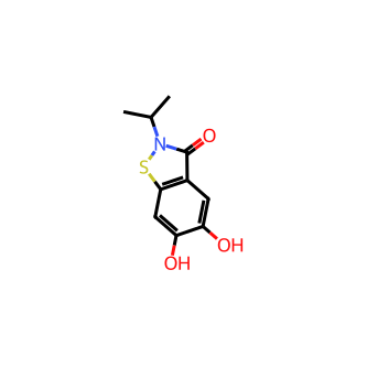 CC(C)n1sc2cc(O)c(O)cc2c1=O